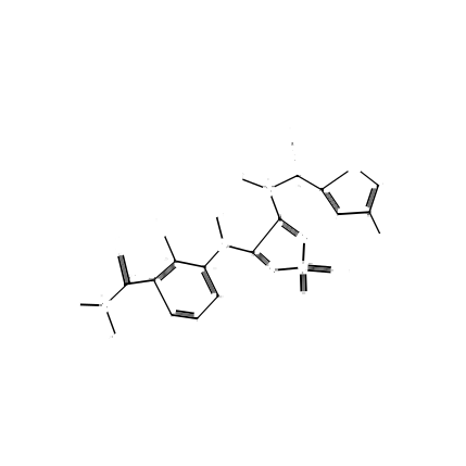 CC[C@H](c1cc(Cl)co1)N(C)C1=NS(=O)(=O)N=C1N(C)c1cccc(C(=O)N(C)C)c1O